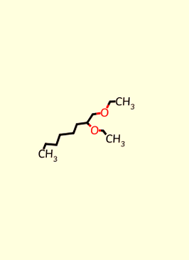 CCCCCCC(COCC)OCC